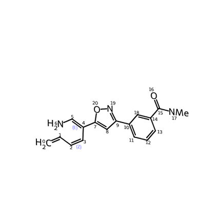 C=C/C=C\C(=C/N)c1cc(-c2cccc(C(=O)NC)c2)no1